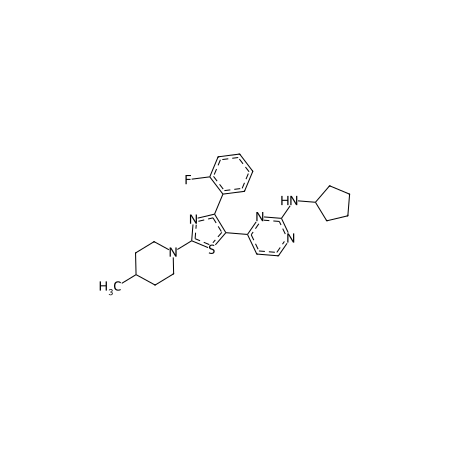 CC1CCN(c2nc(-c3ccccc3F)c(-c3ccnc(NC4CCCC4)n3)s2)CC1